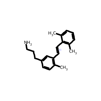 Cc1ccc(CCCN)cc1/C=C/c1c(C)cccc1C